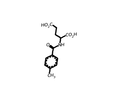 Cc1ccc(C(=O)NC(CCC(=O)O)C(=O)O)cc1